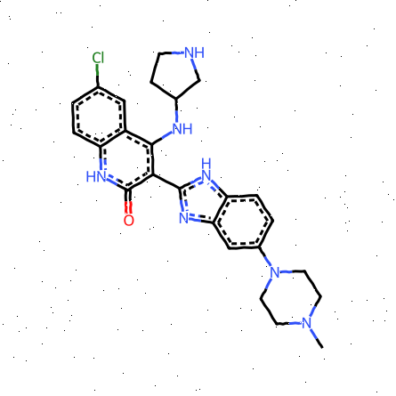 CN1CCN(c2ccc3[nH]c(-c4c(NC5CCNC5)c5cc(Cl)ccc5[nH]c4=O)nc3c2)CC1